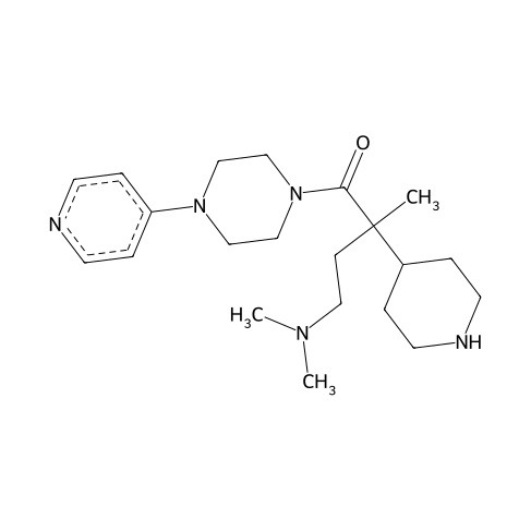 CN(C)CCC(C)(C(=O)N1CCN(c2ccncc2)CC1)C1CCNCC1